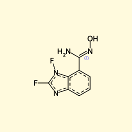 N/C(=N\O)c1cccc2nc(F)n(F)c12